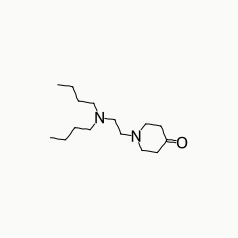 CCCCN(CCCC)CCN1CCC(=O)CC1